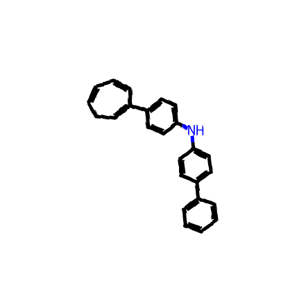 C1=CCC=C(c2ccc(Nc3ccc(-c4ccccc4)cc3)cc2)C=C1